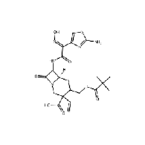 C=CC1(C(=O)O)CN2C(=O)C(NC(=O)C(=NO)c3csc(N)n3)[C@H]2SC1COC(=O)C(C)(C)C